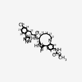 COC(=O)Nc1ccc2c(c1)/N=C/CCCC[C@H](NC(=O)CCc1cc(Cl)ccc1-n1cnnn1)c1nc-2c(F)[nH]1